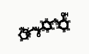 O=C(NC1CC2CCN(CC2)C1)c1ccc(Sc2ccccc2O)cc1